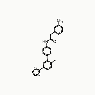 Cc1ccc(-c2ncco2)cc1-c1ccc(NC(=O)Cc2cccc(C(F)(F)F)c2)cc1